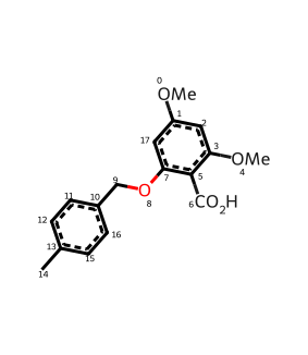 COc1cc(OC)c(C(=O)O)c(OCc2ccc(C)cc2)c1